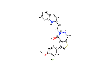 COc1ccc(-c2csc3cnn(CCc4ccc5ccccc5n4)c(=O)c23)cc1F